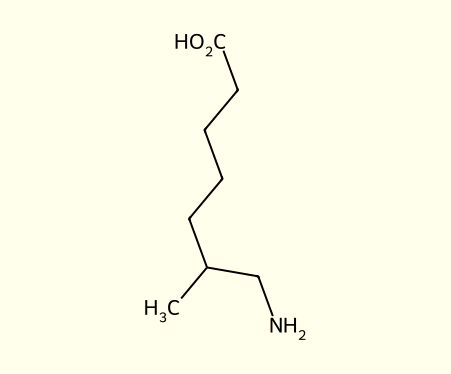 CC(CN)CCCCC(=O)O